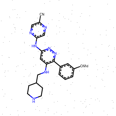 COc1cccc(-c2nnc(Nc3cnc(C#N)cn3)cc2NCC2CCNCC2)c1